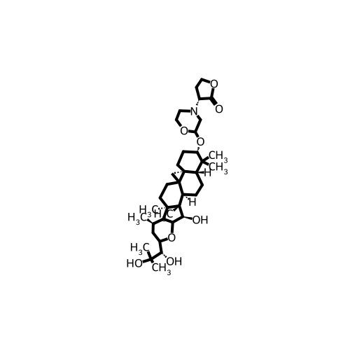 C[C@@H]1CC([C@H](O)C(C)(C)O)OC2C1[C@@]1(C)CCC34C[C@@]35CC[C@H](OC3CN([C@@H]6CCOC6=O)CCO3)C(C)(C)[C@@H]5CC[C@H]4[C@]1(C)[C@H]2O